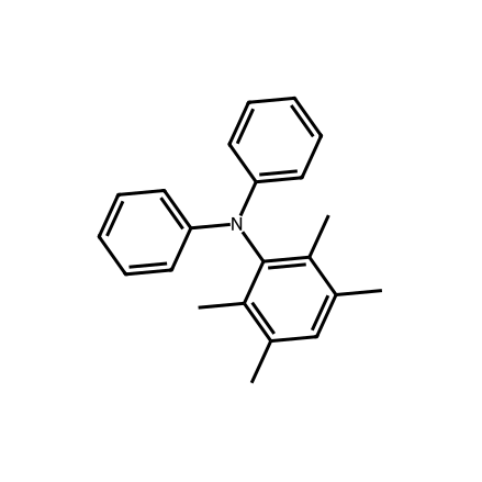 Cc1cc(C)c(C)c(N(c2ccccc2)c2ccccc2)c1C